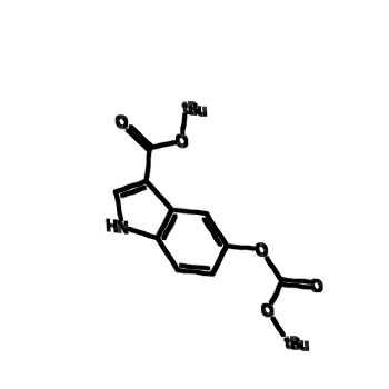 CC(C)(C)OC(=O)Oc1ccc2[nH]cc(C(=O)OC(C)(C)C)c2c1